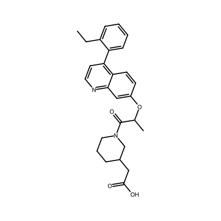 CCc1ccccc1-c1ccnc2cc(OC(C)C(=O)N3CCCC(CC(=O)O)C3)ccc12